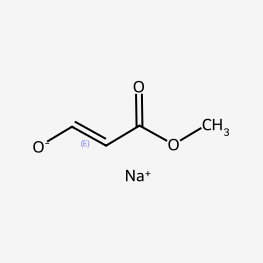 COC(=O)/C=C/[O-].[Na+]